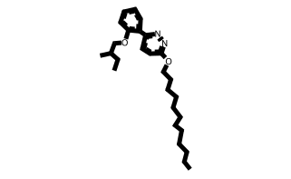 CCCCCCCCCCCCOc1ccc(-c2ccccc2OCC(C)CC)nn1